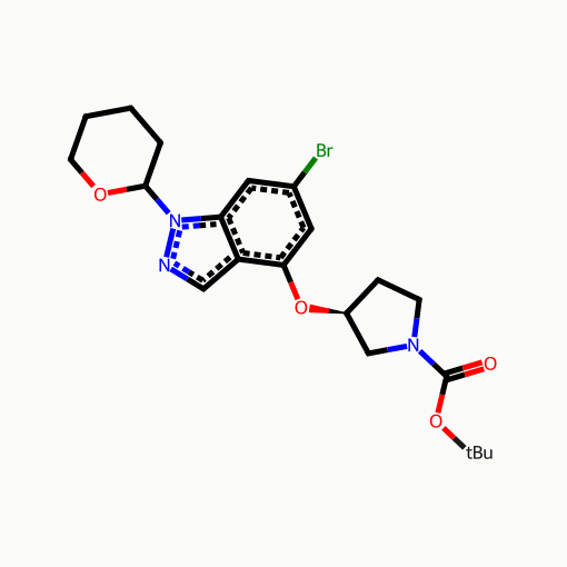 CC(C)(C)OC(=O)N1CC[C@H](Oc2cc(Br)cc3c2cnn3C2CCCCO2)C1